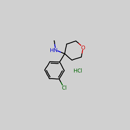 CNC1(c2cccc(Cl)c2)CCOCC1.Cl